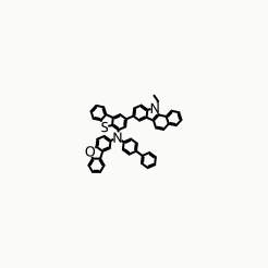 CCn1c2ccc(-c3cc(N(c4ccc(-c5ccccc5)cc4)c4ccc5oc6ccccc6c5c4)c4sc5ccccc5c4c3)cc2c2ccc3ccccc3c21